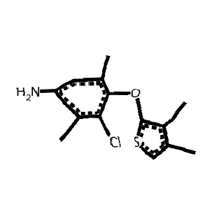 Cc1csc(Oc2c(C)cc(N)c(C)c2Cl)c1C